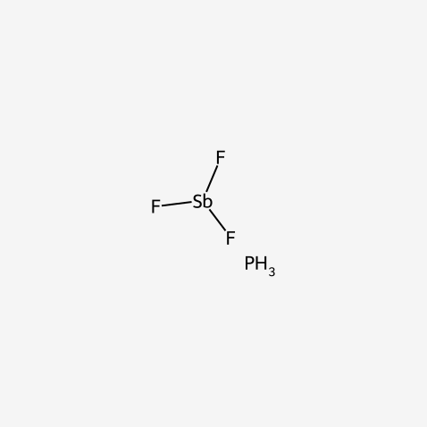 P.[F][Sb]([F])[F]